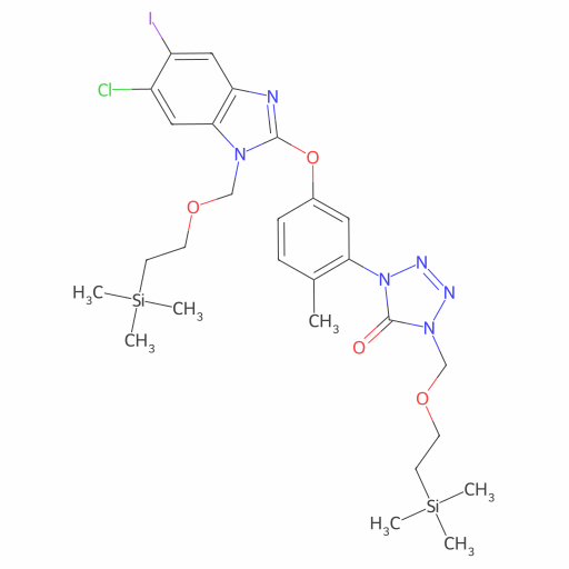 Cc1ccc(Oc2nc3cc(I)c(Cl)cc3n2COCC[Si](C)(C)C)cc1-n1nnn(COCC[Si](C)(C)C)c1=O